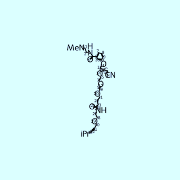 CNCCNC(=O)c1cccc(OC[C@H](OCCOCCOCCCC(=O)NCCOCC#CC(C)C)SC#N)c1